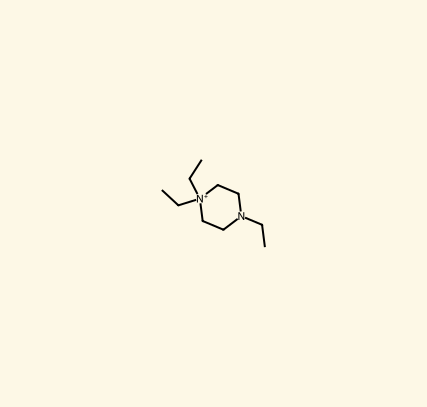 CCN1CC[N+](CC)(CC)CC1